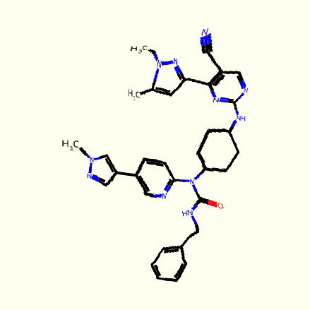 Cc1cc(-c2nc(NC3CCC(N(C(=O)NCc4ccccc4)c4ccc(-c5cnn(C)c5)cn4)CC3)ncc2C#N)nn1C